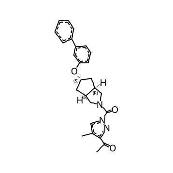 CC(=O)c1nn(C(=O)N2C[C@H]3C[C@H](Oc4cccc(-c5ccccc5)c4)C[C@H]3C2)cc1C